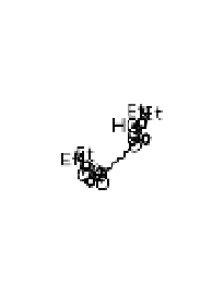 CCN(CC)c1ccc(C(=O)c2ccccc2C(=O)OCCCCCCCCCCOC(=O)c2ccccc2C(=O)c2ccc(N(CC)CC)cc2O)c(O)c1